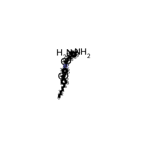 C=CCCCCCC1CCC(C(=O)Oc2ccc(/C=C/C(=O)OCC(C)(C)c3ccc(N)cc3N)cc2)CC1